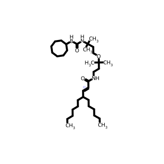 CCCCCCC(/C=C/C(=O)NCCC(C)(C)OCCC(C)(C)NC(=O)BC1CCCCCCC1)CCCCCC